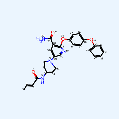 C/C=C/C(=O)NC1CCN(c2cnc(Oc3ccc(Oc4ccccc4)cc3)c(C(N)=O)c2)CC1